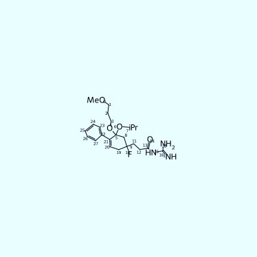 COCCCOC1(OC(C)C)CC(F)(CCC(=O)NC(=N)N)CC=C1c1ccccc1